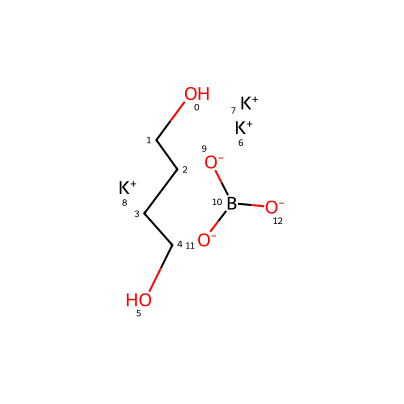 OCCCCO.[K+].[K+].[K+].[O-]B([O-])[O-]